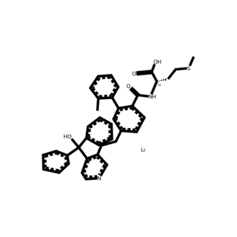 CSCC[C@H](NC(=O)c1ccc(CCc2cnccc2C(O)(c2ccccc2)c2ccccc2)cc1-c1ccccc1C)C(=O)O.[Li]